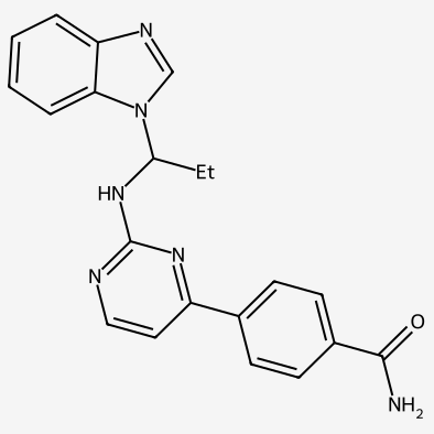 CCC(Nc1nccc(-c2ccc(C(N)=O)cc2)n1)n1cnc2ccccc21